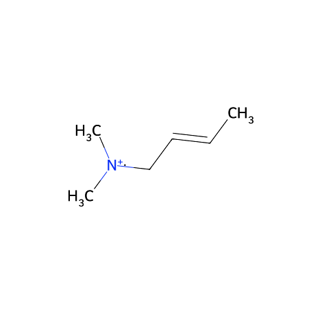 CC=CC[N+](C)C